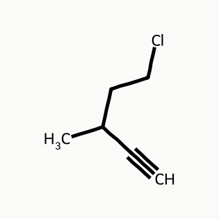 C#CC(C)CCCl